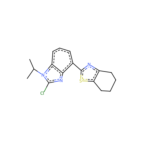 CC(C)n1c(Cl)nc2c(-c3nc4c(s3)CCCC4)cccc21